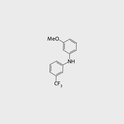 COc1cccc(Nc2cccc(C(F)(F)F)c2)c1